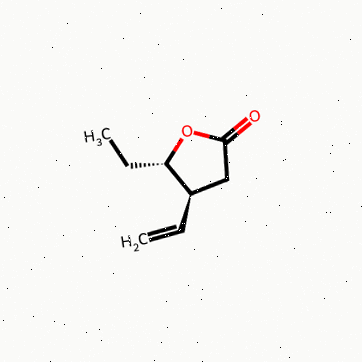 C=C[C@@H]1CC(=O)O[C@H]1CC